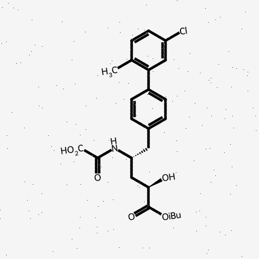 Cc1ccc(Cl)cc1-c1ccc(C[C@H](C[C@@H](O)C(=O)OCC(C)C)NC(=O)C(=O)O)cc1